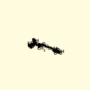 C#Cc1c(F)ccc2cccc(-c3ncc4c(N5CC6CCC(C5)N6)nc(OC[C@@]56CC[C@@H](COC(=O)NCCOCCOCCNc7ccc8c(c7)C(=O)N(C7CCC(=O)NC7=O)C8=O)N5CC(=C)C6)nc4c3F)c12